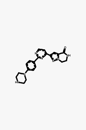 O=C1NCCn2nc(-c3ccnc(-c4ccc(N5CCNCC5)cc4)n3)cc21